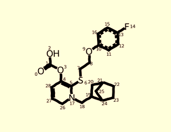 O=C(O)OC1=C(SCCOc2ccc(F)cc2)N(CC2CC3CCC2C3)CC=C1